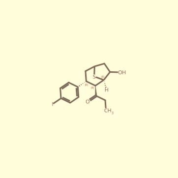 CCC(=O)[C@H]1[C@H](c2ccc(I)cc2)CC2CC(O)[C@@H]1S2